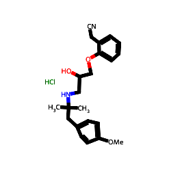 COc1ccc(CC(C)(C)NCC(O)COc2ccccc2CC#N)cc1.Cl